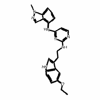 CCOc1ccc2[nH]cc(CCNc3nccc(Nc4cccc5c4cnn5C)n3)c2c1